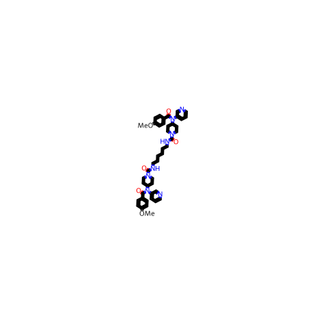 COc1ccc(C(=O)N(c2cccnc2)C2CCN(C(=O)NCCCCCCNC(=O)N3CCC(N(C(=O)c4ccc(OC)cc4)c4cccnc4)CC3)CC2)cc1